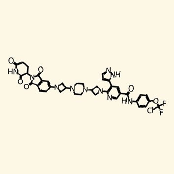 O=C1CCC(N2C(=O)c3ccc(N4CC(N5CCN(C6CN(c7ncc(C(=O)Nc8ccc(OC(F)(F)Cl)cc8)cc7-c7ccn[nH]7)C6)CC5)C4)cc3C2=O)C(=O)N1